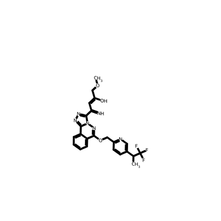 COC/C(O)=C/C(=N)c1nnc2c3ccccc3c(OCc3ccc(C(C)C(F)(F)F)cn3)nn12